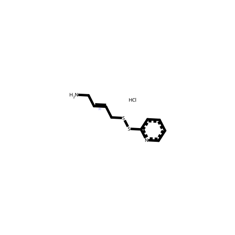 Cl.NC/C=C/CSSc1ccccn1